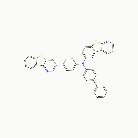 c1ccc(-c2ccc(N(c3ccc(-c4cnc5c(c4)sc4ccccc45)cc3)c3ccc4sc5ccccc5c4c3)cc2)cc1